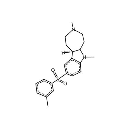 Cc1cccc(S(=O)(=O)c2ccc3c(c2)[C@@H]2CCN(C)CCC2N3C)c1